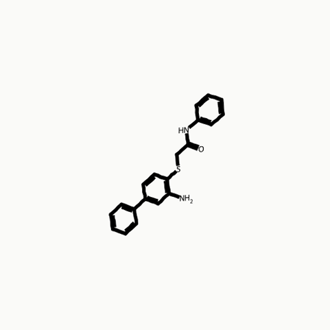 Nc1cc(-c2ccccc2)ccc1SCC(=O)Nc1ccccc1